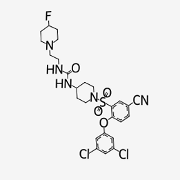 N#Cc1ccc(Oc2cc(Cl)cc(Cl)c2)c(S(=O)(=O)N2CCC(NC(=O)NCCN3CCC(F)CC3)CC2)c1